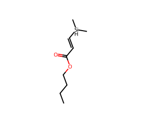 CCCCOC(=O)C=C[SiH](C)C